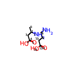 CC(N)CC(=O)O.NCCCC(=O)O